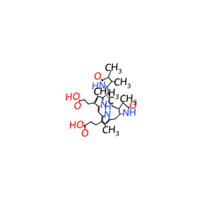 CCC1C(=O)NC(CC2=N/C(=C\c3[nH]c(CC4NC(=O)C(C)C4CC)c(C)c3CCC(=O)O)C(CCC(=O)O)=C2C)C1C